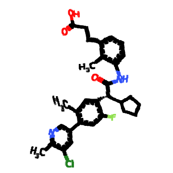 Cc1cc([C@H](C(=O)Nc2cccc(CCC(=O)O)c2C)C2CCCC2)c(F)cc1-c1cnc(C)c(Cl)c1